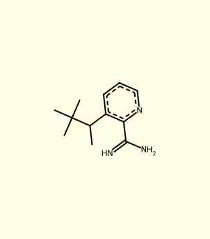 CC(c1cccnc1C(=N)N)C(C)(C)C